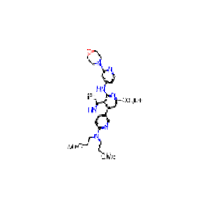 CCOC(=O)c1cc(-c2ccc(N(CCOC)CCOC)nc2)c(C(=N)C(C)C)c(Nc2ccnc(N3CCOCC3)c2)n1